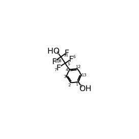 Oc1ccc(C(F)(F)C(O)(F)F)cc1